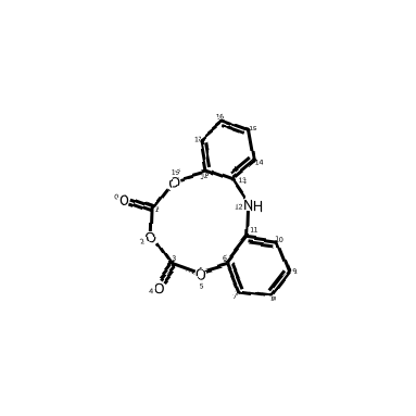 O=C1OC(=O)Oc2ccccc2Nc2ccccc2O1